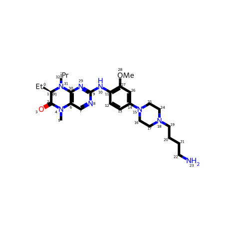 CC[C@@H]1C(=O)N(C)c2cnc(Nc3ccc(N4CCN(CCCCN)CC4)cc3OC)nc2N1C(C)C